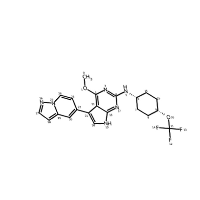 COc1nc(N[C@H]2CC[C@@H](OC(F)(F)F)CC2)nc2[nH]cc(-c3ccn4nccc4c3)c12